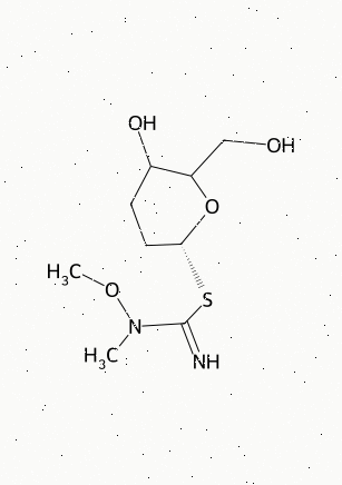 CON(C)C(=N)S[C@@H]1CCC(O)C(CO)O1